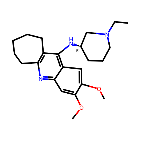 CCN1CCC[C@@H](Nc2c3c(nc4cc(OC)c(OC)cc24)CCCCC3)C1